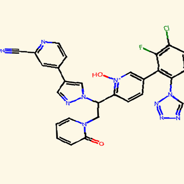 N#Cc1cc(-c2cnn(C(Cn3ccccc3=O)c3ccc(-c4c(-n5cnnn5)ccc(Cl)c4F)c[n+]3O)c2)ccn1